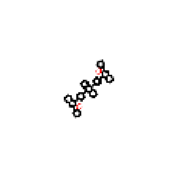 c1ccc2c(-c3ccc(-c4c5ccccc5c(-c5ccc(-c6c7ccccc7cc7c6oc6ccccc67)cc5)c5ccccc45)cc3)c3oc4ccccc4c3cc2c1